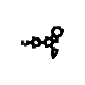 Nc1ncc(-c2nc(N3CC4CC43)c3nc4n(c3n2)CCCOC4)cn1